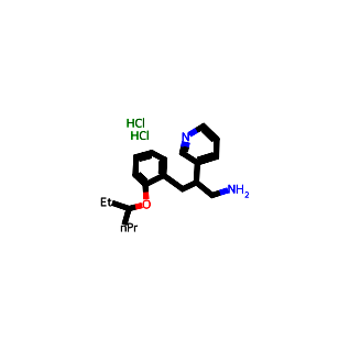 CCCC(CC)Oc1ccccc1CC(CN)c1cccnc1.Cl.Cl